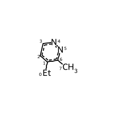 [CH2]Cc1ccnnc1C